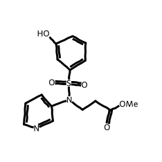 COC(=O)CCN(c1cccnc1)S(=O)(=O)c1cccc(O)c1